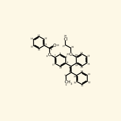 CC/C(=C(\c1ccc(OC(=O)c2ccccc2)cc1)c1ccccc1OCCCl)c1ccccc1